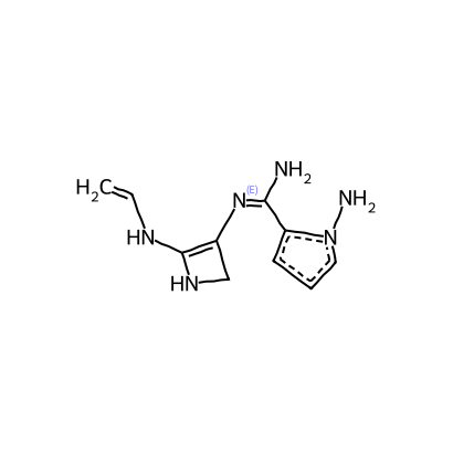 C=CNC1=C(/N=C(/N)c2cccn2N)CN1